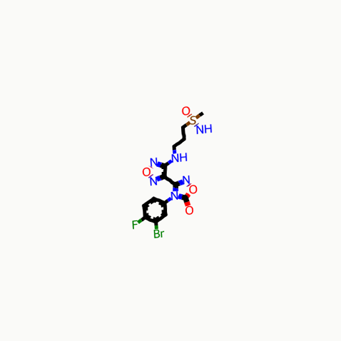 CS(=N)(=O)CCCNc1nonc1-c1noc(=O)n1-c1ccc(F)c(Br)c1